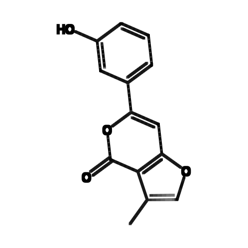 Cc1coc2cc(-c3cccc(O)c3)oc(=O)c12